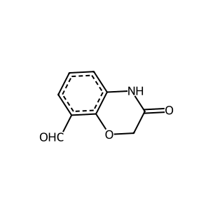 O=Cc1cccc2c1OCC(=O)N2